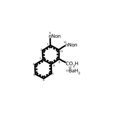 CCCCCCCCCc1cc2ccccc2c(C(=O)O)c1CCCCCCCCC.[BaH2]